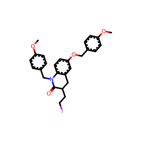 COc1ccc(COc2ccc3c(c2)CC(CCI)C(=O)N3Cc2ccc(OC)cc2)cc1